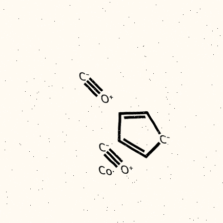 [C-]#[O+].[C-]#[O+].[Co].c1cc[cH-]c1